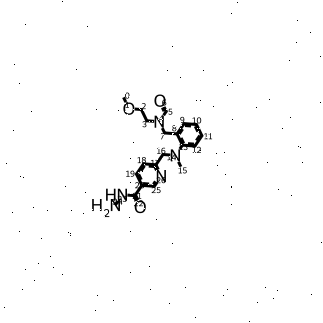 COCCN(C=O)Cc1ccccc1N(C)Cc1ccc(C(=O)NN)cn1